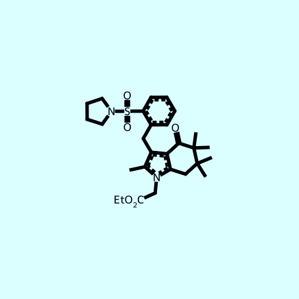 CCOC(=O)Cn1c(C)c(Cc2ccccc2S(=O)(=O)N2CCCC2)c2c1CC(C)(C)C(C)(C)C2=O